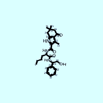 CCCCC(NC(=O)c1[nH]c2c(c1C)C(=O)CC(C)(C)C2)C(=O)NC(CO)c1ccccc1